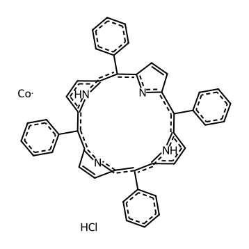 C1=Cc2nc1c(-c1ccccc1)c1ccc([nH]1)c(-c1ccccc1)c1nc(c(-c3ccccc3)c3ccc([nH]3)c2-c2ccccc2)C=C1.Cl.[Co]